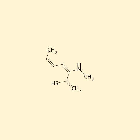 C=C(S)/C(=C\C=C/C)NC